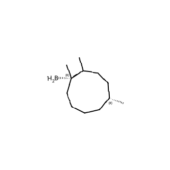 B[C@@]1(C)CCCC[C@@H](C)CCC1C